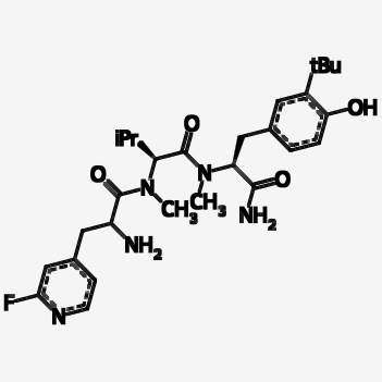 CC(C)[C@@H](C(=O)N(C)[C@@H](Cc1ccc(O)c(C(C)(C)C)c1)C(N)=O)N(C)C(=O)C(N)Cc1ccnc(F)c1